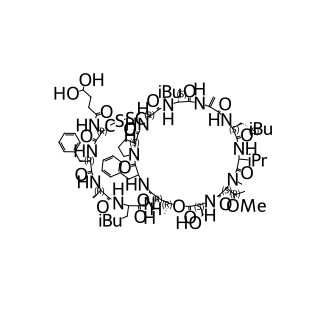 C=C1NC(=O)C([C@@H](C)CC)NC(=O)[C@@H]2CSSC[C@H](NC(=O)CCC(O)O)C(=O)N[C@H](Cc3ccccc3)C(=O)N[C@H](C)C(=O)NC(CC(C)CC)C(=O)N[C@@H](C(=O)NC(Cc3ccccc3)C(=O)N3CCC[C@H]3C(=O)N2)[C@@H](C)OC(=O)[C@H](CO)NC(=O)[C@H]([C@@H](C)OC)N(C)C(=O)C(C(C)C)NC(=O)[C@H](C[C@@H](C)CC)NC1=O